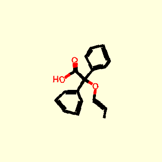 CC=COC(C(=O)O)(c1ccccc1)c1ccccc1